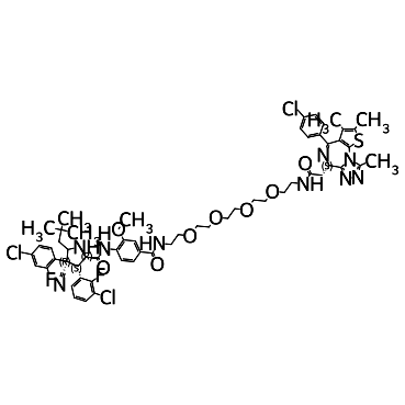 COc1cc(C(=O)NCCOCCOCCOCCOCCNC(=O)C[C@@H]2N=C(c3ccc(Cl)cc3)c3c(sc(C)c3C)-n3c(C)nnc32)ccc1NC(=O)[C@@H]1NC(CC(C)(C)C)[C@](C#N)(c2ccc(Cl)cc2F)[C@H]1c1cccc(Cl)c1F